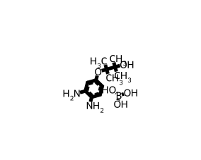 CC(C)(O)C(C)(C)Oc1ccc(N)c(N)c1.OB(O)O